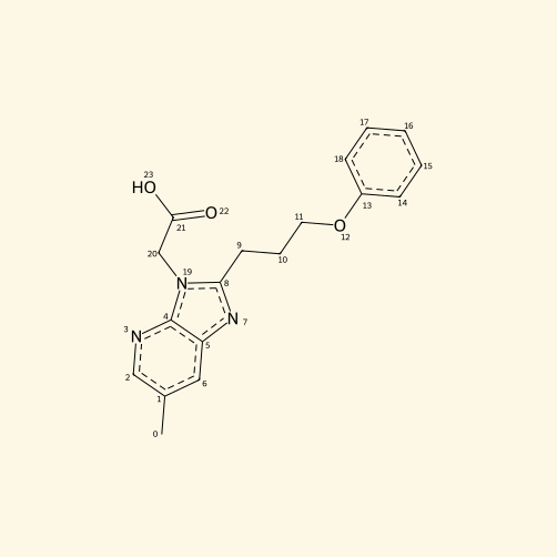 Cc1cnc2c(c1)nc(CCCOc1ccccc1)n2CC(=O)O